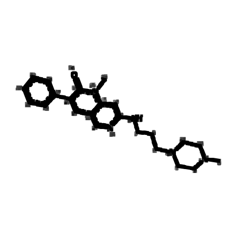 CN1CCN(CCCNc2cc3c(cn2)cc(-c2ccccc2)c(=O)n3C)CC1